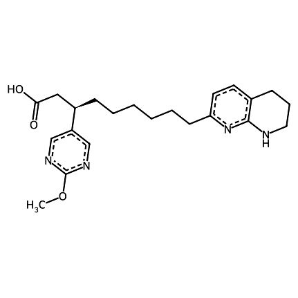 COc1ncc([C@H](CCCCCCc2ccc3c(n2)NCCC3)CC(=O)O)cn1